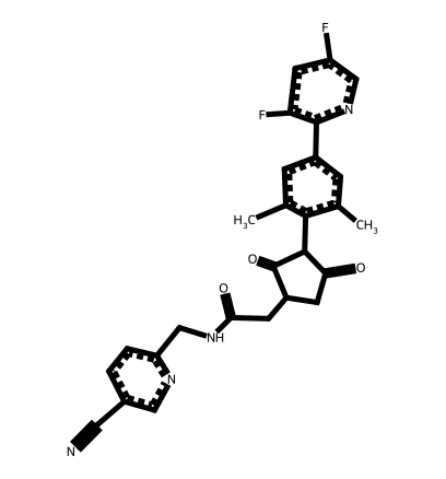 Cc1cc(-c2ncc(F)cc2F)cc(C)c1C1C(=O)CC(CC(=O)NCc2ccc(C#N)cn2)C1=O